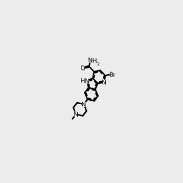 CN1CCN(c2ccc3c(c2)[nH]c2c(C(N)=O)cc(Br)nc23)CC1